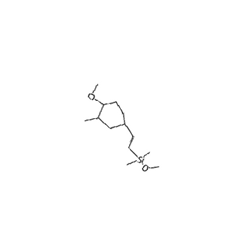 COC1CCC(CC[Si](C)(C)OC)CC1C